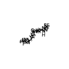 O=C(N1CC2(CC(Cc3cnc(C(F)(F)F)cn3)C2)C1)N1CC2(CC(c3nc(C(F)(F)F)n[nH]3)C2)C1